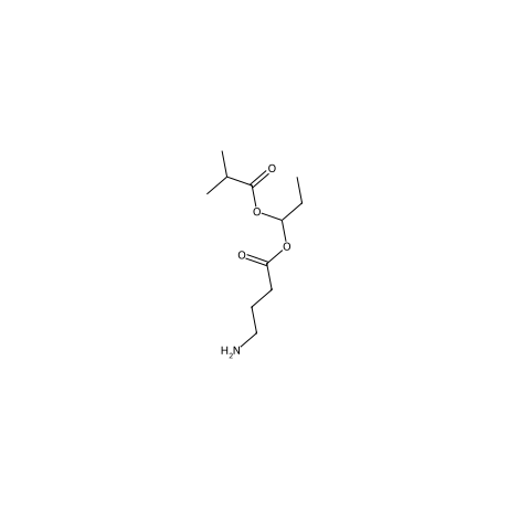 CCC(OC(=O)CCCN)OC(=O)C(C)C